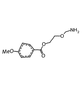 COc1ccc(C(=O)OCCOCN)cc1